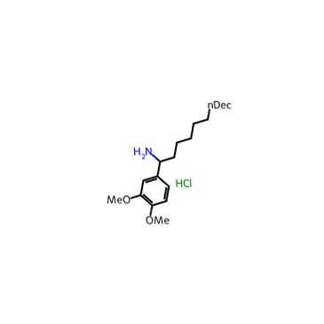 CCCCCCCCCCCCCCCC(N)c1ccc(OC)c(OC)c1.Cl